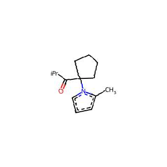 Cc1cccn1C1(C(=O)C(C)C)CCCC1